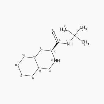 CC(C)(C)NC(=O)[C@@H]1CC2CCCCC2CN1